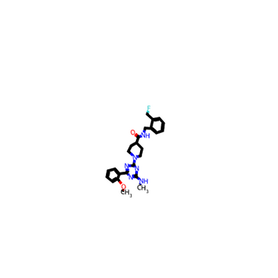 CNc1nc(-c2ccccc2OC)nc(N2CCC(C(=O)NCc3ccccc3CF)CC2)n1